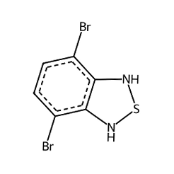 Brc1ccc(Br)c2c1NSN2